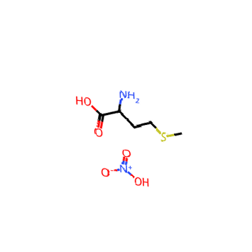 CSCCC(N)C(=O)O.O=[N+]([O-])O